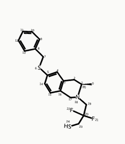 C[C@@H]1Cc2cc(SCc3ccccc3)ccc2CN1CC(F)(F)CS